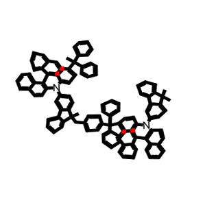 CC1(C)c2ccccc2-c2cc(N(c3ccc(C(c4ccccc4)(c4ccccc4)c4ccc(CC5(C)c6ccccc6-c6cc(N(c7ccc(C(C)(c8ccccc8)c8ccccc8)cc7)c7ccc8ccccc8c7-c7cccc8ccccc78)ccc65)cc4)cc3)c3ccc4ccccc4c3-c3cccc4ccccc34)ccc21